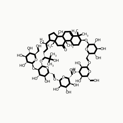 C[C@H](CC[C@@H](O[C@@H]1O[C@H](CO[C@@H]2O[C@H](CO)[C@@H](O)[C@H](O)[C@H]2O)[C@@H](O)[C@H](O)[C@H]1O[C@@H]1O[C@H](CO)[C@@H](O)[C@H](O)[C@H]1O)C(C)(C)O)C1CC[C@@]2(C)C3CC=C4C(CC[C@H](O[C@@H]5O[C@H](CO[C@H]6O[C@H](CO)[C@@H](O)[C@H](O)[C@H]6O)[C@@H](O)[C@H](O)[C@H]5O)C4(C)C)[C@]3(C)C(=O)C[C@]12C